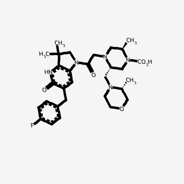 C[C@@H]1COCCN1C[C@H]1CN(C(=O)O)[C@H](C)CN1CC(=O)N1CC(C)(C)c2[nH]c(=O)c(Cc3ccc(F)cc3)cc21